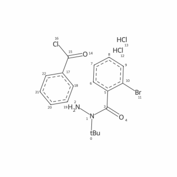 CC(C)(C)N(N)C(=O)c1ccccc1Br.Cl.Cl.O=C(Cl)c1ccccc1